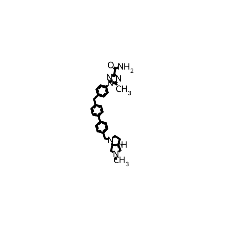 Cc1nc(C(N)=O)nn1-c1ccc(Cc2ccc(-c3ccc(CN4CC[C@H]5CN(C)CC54)cc3)cc2)cc1